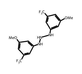 COc1cc(NNNc2cc(OC)cc(C(F)(F)F)c2)cc(C(F)(F)F)c1